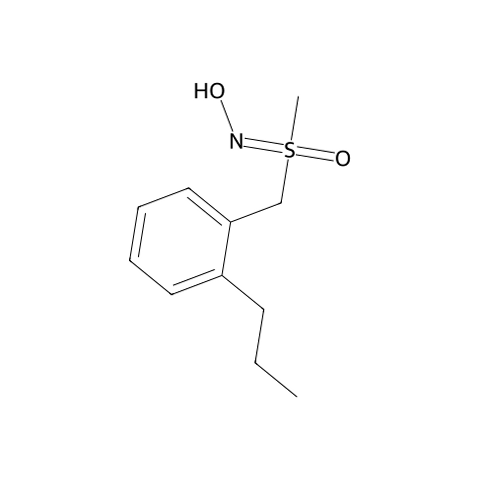 CCCc1ccccc1CS(C)(=O)=NO